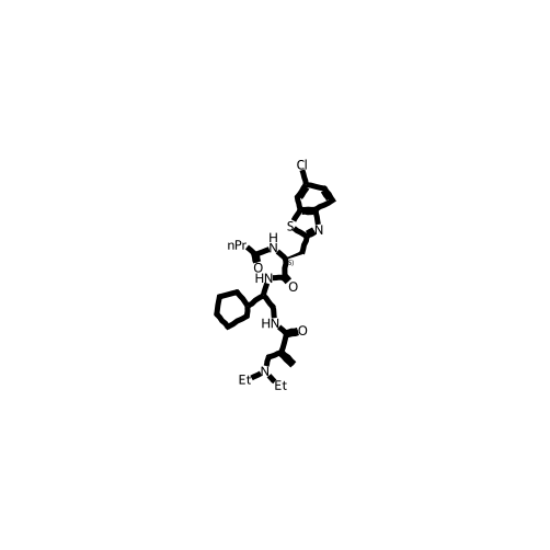 C=C(CN(CC)CC)C(=O)NCC(NC(=O)[C@H](Cc1nc2ccc(Cl)cc2s1)NC(=O)CCC)C1CCCCC1